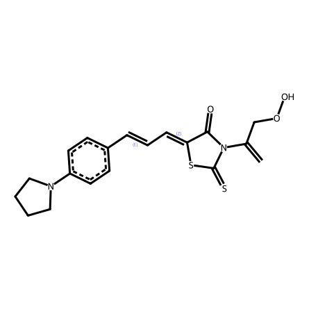 C=C(COO)N1C(=O)/C(=C/C=C/c2ccc(N3CCCC3)cc2)SC1=S